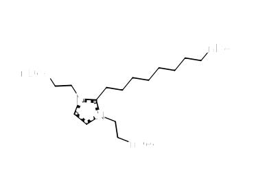 CCCCCCCCCCCCCCCCCCc1n(CCCCCCCCCCCC)cc[n+]1CCCCCCCCCCCC